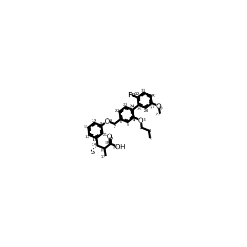 CCCOc1cc(COc2cccc([C@@H](C)C(C)C(=O)O)c2)ccc1-c1cc(OC)ccc1F